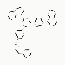 C(=C/c1ccccc1)/N=C/c1ccc(-c2nc(-c3ccc(-c4nccc5ccccc45)cc3)nc(-c3cccc4ccccc34)n2)cc1